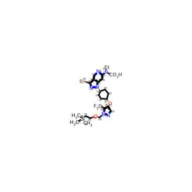 CCN(C(=O)O)c1cc2c(cn1)c(Br)nn2[C@H]1CC[C@@H](Oc2cnn(COCC[Si](C)(C)C)c2C(F)(F)F)CC1